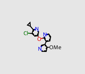 COc1ccncc1-c1cccnc1Oc1cnc(C2CC2)c(Cl)c1